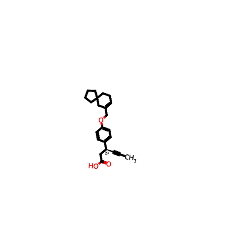 CC#C[C@@H](CC(=O)O)c1ccc(OCC2=CCCC3(CCCC3)C2)cc1